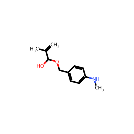 C=C(C)C(O)OCc1ccc(NC)cc1